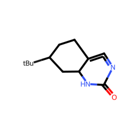 CC(C)(C)C1CCC2=C=NC(=O)NC2C1